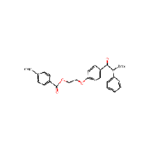 COC(C(=O)c1ccc(OCCOC(=O)c2ccc(C=O)cc2)cc1)c1ccccc1